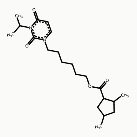 CC1CC(C)C(C(=O)OCCCCCCn2ccc(=O)n(C(C)C)c2=O)C1